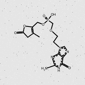 CC1=C(COP(=O)(O)COCCn2cnc3c(=O)[nH]c(N)nc32)OC(=O)C1